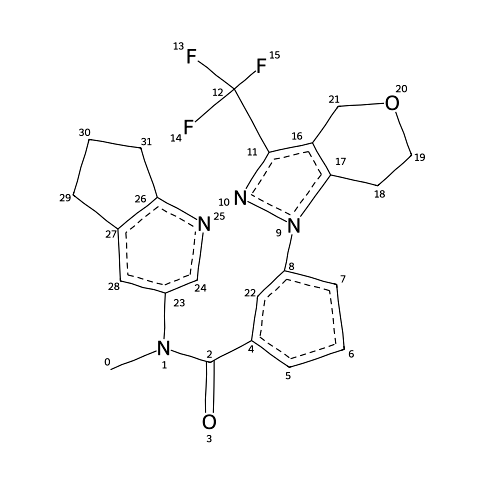 CN(C(=O)c1cccc(-n2nc(C(F)(F)F)c3c2CCOC3)c1)c1cnc2c(c1)CCC2